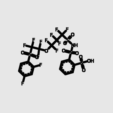 O=S(=O)(O)c1ccccc1S(=O)(=O)NS(=O)(=O)C(F)(F)C(F)(F)C(F)(F)OC(F)(F)C(F)(F)S(=O)(=O)c1ccc(F)cc1F